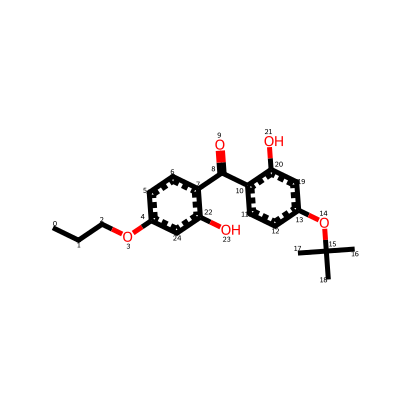 CCCOc1ccc(C(=O)c2ccc(OC(C)(C)C)cc2O)c(O)c1